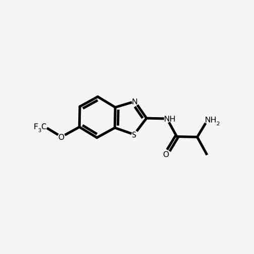 CC(N)C(=O)Nc1nc2ccc(OC(F)(F)F)cc2s1